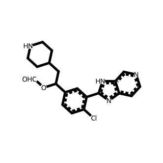 O=COC(CC1CCNCC1)c1ccc(Cl)c(-c2nc3ccncc3[nH]2)c1